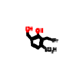 CC(C)Cc1c(S(=O)(=O)O)ccc(CO)c1O